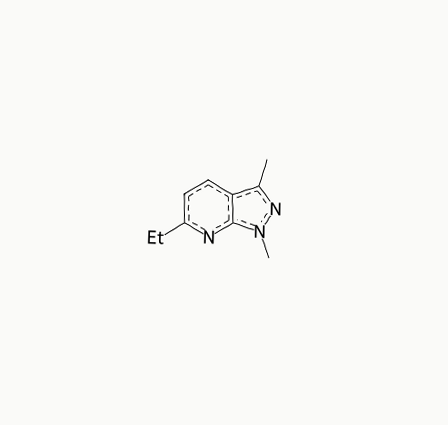 CCc1ccc2c(C)nn(C)c2n1